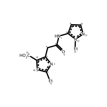 CCc1nc(CC(=O)Nc2ccnn2CC)c(C(=O)O)s1